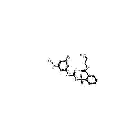 C=CCOC(=O)c1ccccc1S(=O)(=O)NC(=O)Nc1nc(C)cc(OC)n1